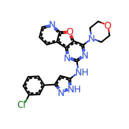 Clc1cccc(-c2cc(Nc3nc(N4CCOCC4)c4oc5ncccc5c4n3)[nH]n2)c1